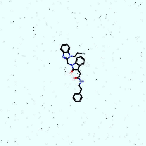 CC(C)CCn1c(CN2C(=O)C(CC(=O)NCCc3ccccc3)c3ccccc32)nc2ccccc21